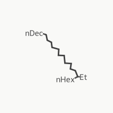 [CH2]CCCCCCCCCCCCCCCCCCCCC(CC)CCCCC[CH2]